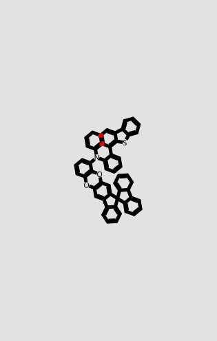 C1=CCC2C(=C1)C1(c3ccccc3-c3cc4c(cc31)Oc1c(cccc1N(C1=CCCC=C1)c1ccccc1-c1cccc3c1sc1ccccc13)O4)c1ccccc12